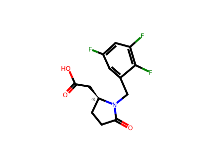 O=C(O)C[C@@H]1CCC(=O)N1Cc1cc(F)cc(F)c1F